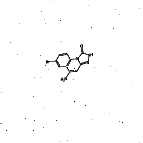 Nc1cc2n[nH]c(=O)n2c2ccc(Br)cc12